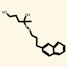 CC(O)(CCCO)N=NCCCc1ccc2ccccc2c1